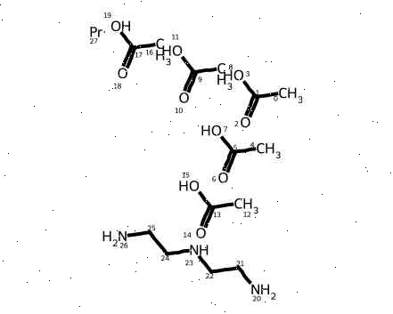 CC(=O)O.CC(=O)O.CC(=O)O.CC(=O)O.CC(=O)O.NCCNCCN.[Pr]